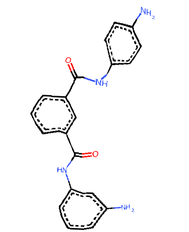 Nc1ccc(NC(=O)c2cccc(C(=O)Nc3cccc(N)c3)c2)cc1